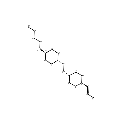 CC=C[C@H]1CC[C@H](CC[C@H]2CC[C@H](OCCCC)CC2)CC1